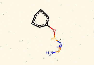 N/P=N\POc1ccccc1